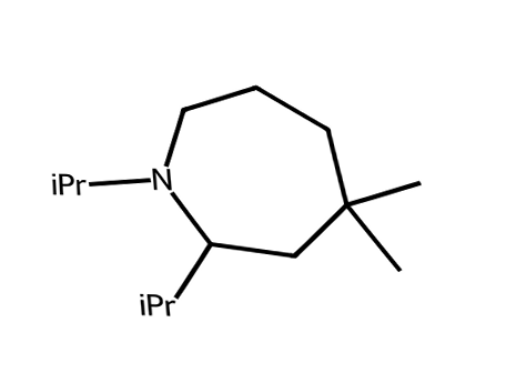 CC(C)C1CC(C)(C)CCCN1C(C)C